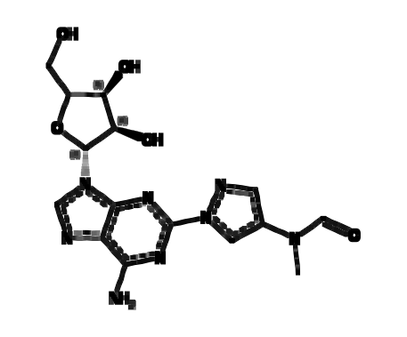 CN(C=O)c1cnn(-c2nc(N)c3ncn([C@@H]4OC(CO)[C@@H](O)[C@H]4O)c3n2)c1